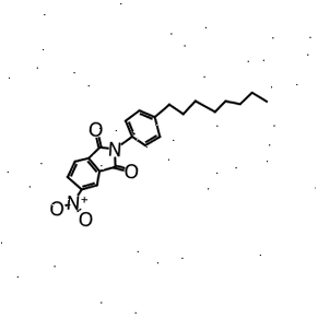 CCCCCCCCc1ccc(N2C(=O)c3ccc([N+](=O)[O-])cc3C2=O)cc1